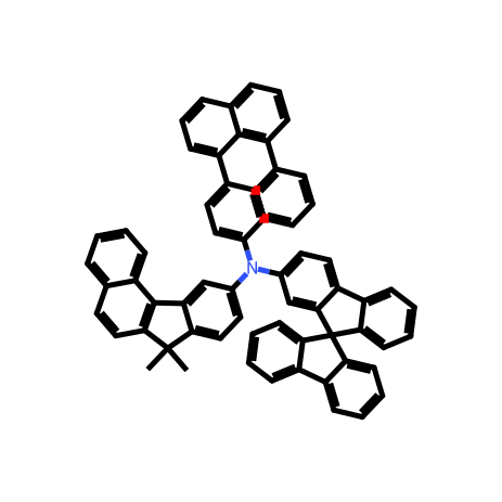 CC1(C)c2ccc(N(c3ccc(-c4cccc5cccc(-c6ccccc6)c45)cc3)c3ccc4c(c3)C3(c5ccccc5-c5ccccc53)c3ccccc3-4)cc2-c2c1ccc1ccccc21